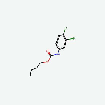 CCCCOC(=O)Nc1ccc(Cl)c(F)c1